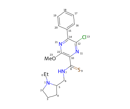 CCN1CCCC1CNC(=S)c1nc(Cl)c(-c2ccccc2)nc1OC